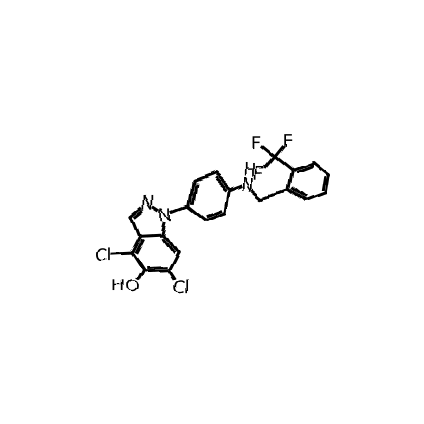 Oc1c(Cl)cc2c(cnn2-c2ccc(NCc3ccccc3C(F)(F)F)cc2)c1Cl